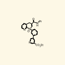 CCOC(=O)c1cncc(-c2cccc([N+]3([O-])C=C(C(=O)NC(C)C)Cc4cccnc43)c2)c1